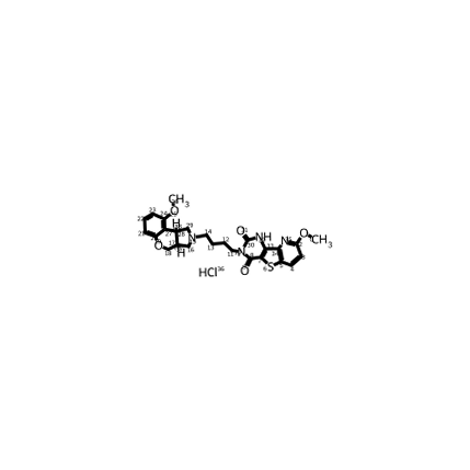 COc1ccc2sc3c(=O)n(CCCCN4C[C@@H]5COc6cccc(OC)c6[C@@H]5C4)c(=O)[nH]c3c2n1.Cl